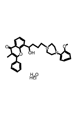 COc1ccccc1N1CCN(CCCC(O)c2cccc3c(=O)c(C)c(-c4ccccc4)oc23)CC1.Cl.O